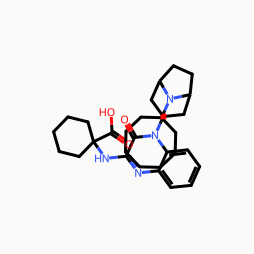 O=C(O)C1(Nc2nc3ccccc3n(C3CC4CCC(C3)N4C3CCCCCCC3)c2=O)CCCCC1